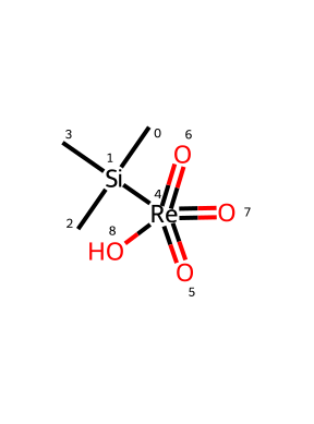 C[Si](C)(C)[Re](=[O])(=[O])(=[O])[OH]